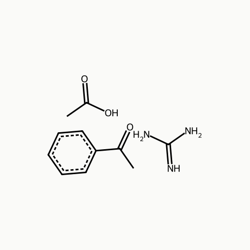 CC(=O)O.CC(=O)c1ccccc1.N=C(N)N